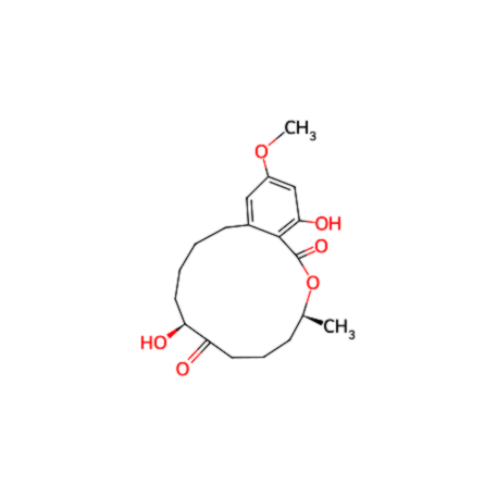 COc1cc(O)c2c(c1)CCCC[C@H](O)C(=O)CCC[C@H](C)OC2=O